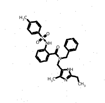 CCc1nc(C)c(CN(Cc2ccccc2)C(=O)c2ccccc2NS(=O)(=O)c2ccc(C)cc2)[nH]1